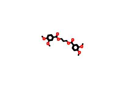 COc1ccc(C(=O)OCCCOC(=O)c2ccc(OC)c(OC)c2)cc1OC